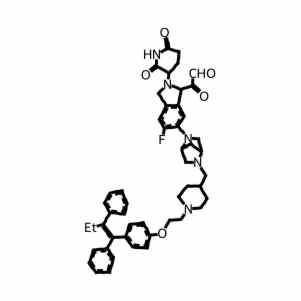 CCC(=C(c1ccccc1)c1ccc(OCCN2CCC(CN3CC4CC3CN4c3cc4c(cc3F)CN(C3CCC(=O)NC3=O)C4C(=O)C=O)CC2)cc1)c1ccccc1